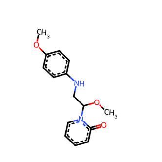 COc1ccc(NCC(OC)n2ccccc2=O)cc1